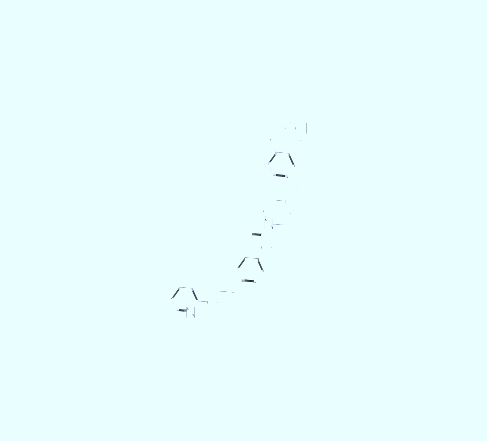 O=C(O)Cc1ccc(OC2CCN(C(=O)Oc3ccc(CCOc4ccccn4)cc3)CC2)cc1